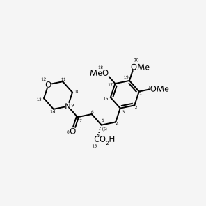 COc1cc(C[C@@H](CC(=O)N2CCOCC2)C(=O)O)cc(OC)c1OC